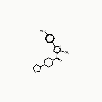 COc1ccc(-c2nc(C)c(C(=O)N3CCN(C4CCCC4)CC3)s2)cc1